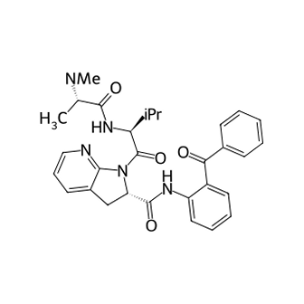 CN[C@@H](C)C(=O)N[C@H](C(=O)N1c2ncccc2C[C@H]1C(=O)Nc1ccccc1C(=O)c1ccccc1)C(C)C